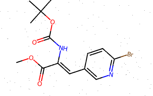 COC(=O)C(=Cc1ccc(Br)nc1)NC(=O)OC(C)(C)C